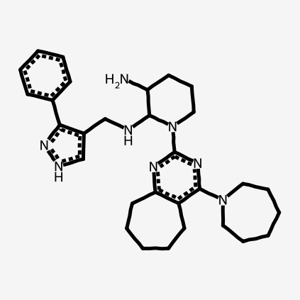 NC1CCCN(c2nc3c(c(N4CCCCCC4)n2)CCCCC3)C1NCc1c[nH]nc1-c1ccccc1